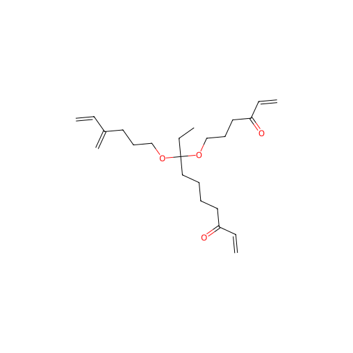 C=CC(=C)CCCOC(CC)(CCCCC(=O)C=C)OCCCC(=O)C=C